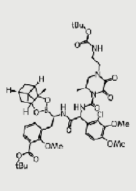 COc1ccc(C(NC(=O)N2C(=O)C(=O)N(CCNC(=O)OC(C)(C)C)C[C@@H]2C)C(=O)N[C@@H](Cc2cccc(C(=O)OC(C)(C)C)c2OC)B2O[C@@H]3C[C@@H]4C[C@@H](C4(C)C)[C@]3(C)O2)c(Cl)c1OC